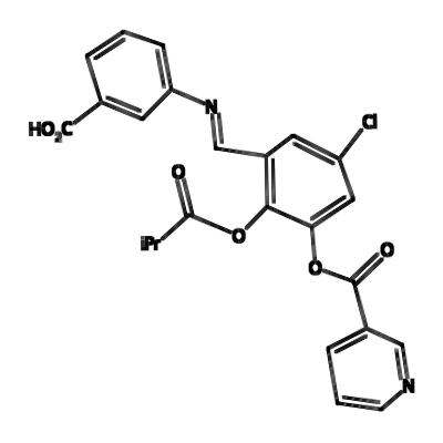 CC(C)C(=O)Oc1c(C=Nc2cccc(C(=O)O)c2)cc(Cl)cc1OC(=O)c1cccnc1